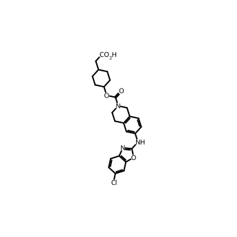 O=C(O)CC1CCC(OC(=O)N2CCc3cc(Nc4nc5ccc(Cl)cc5o4)ccc3C2)CC1